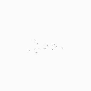 CC1CC(=O)N(Cc2c(C#N)cccc2Oc2ccc(-c3ccc(C(C)C)nn3)cc2)C1